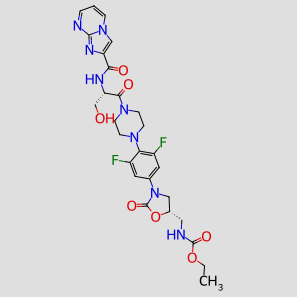 CCOC(=O)NC[C@H]1CN(c2cc(F)c(N3CCN(C(=O)[C@H](CO)NC(=O)c4cn5cccnc5n4)CC3)c(F)c2)C(=O)O1